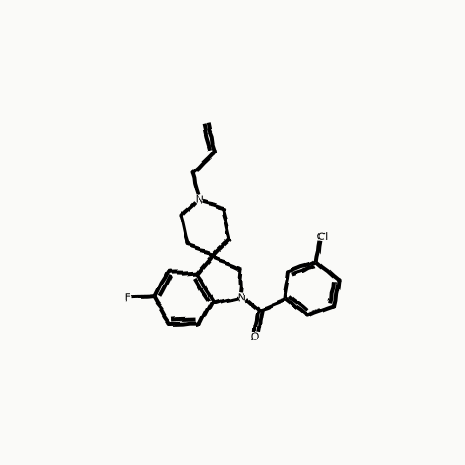 C=CCN1CCC2(CC1)CN(C(=O)c1cccc(Cl)c1)c1ccc(F)cc12